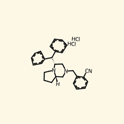 Cl.Cl.N#Cc1ccccc1CN1C[C@@H]2CCCN2[C@H](C(c2ccccc2)c2ccccc2)C1